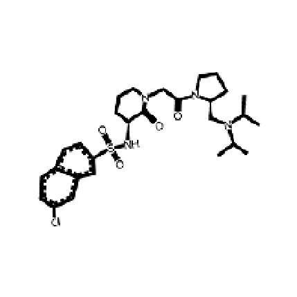 CC(C)N(C[C@@H]1CCCN1C(=O)CN1CCC[C@H](NS(=O)(=O)c2ccc3ccc(Cl)cc3c2)C1=O)C(C)C